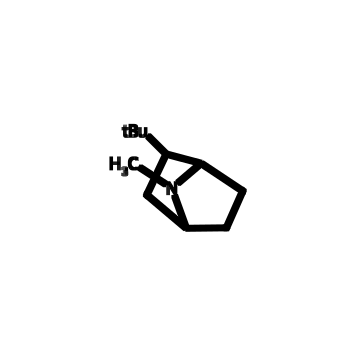 CN1C2CCC1C(C(C)(C)C)C2